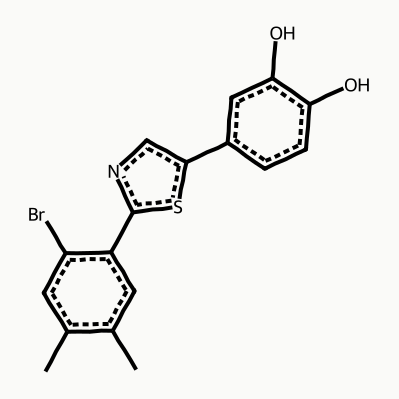 Cc1cc(Br)c(-c2ncc(-c3ccc(O)c(O)c3)s2)cc1C